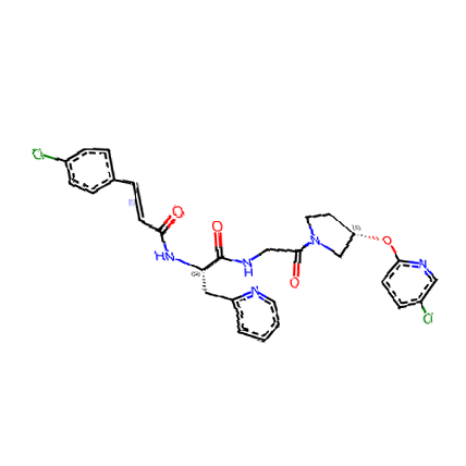 O=C(/C=C/c1ccc(Cl)cc1)N[C@@H](Cc1ccccn1)C(=O)NCC(=O)N1CC[C@H](Oc2ccc(Cl)cn2)C1